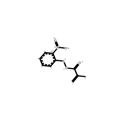 C=C(C)C(=O)OSc1ccccc1[N+](=O)[O-]